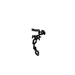 COc1cc(-c2cc3[nH]c4ccc(C5CN(C6CCOCC6)C5)cc4c3c(C)c2C)cn2ncnc12